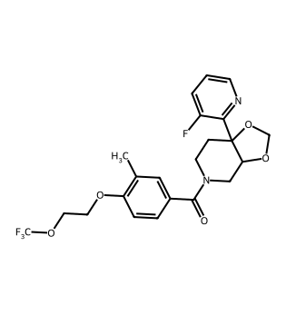 Cc1cc(C(=O)N2CCC3(c4ncccc4F)OCOC3C2)ccc1OCCOC(F)(F)F